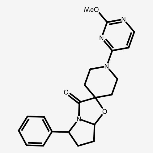 COc1nccc(N2CCC3(CC2)OC2CCC(c4ccccc4)N2C3=O)n1